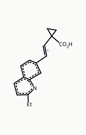 CCc1ccc2ccc(/C=C/C3(C(=O)O)CC3)cc2n1